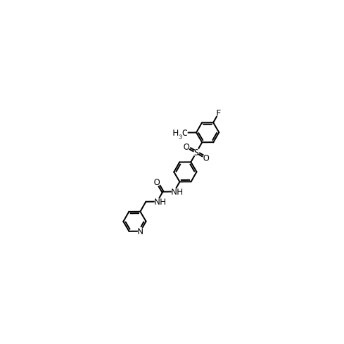 Cc1cc(F)ccc1S(=O)(=O)c1ccc(NC(=O)NCc2cccnc2)cc1